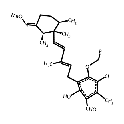 CO/N=C1\CC[C@@H](C)[C@](C)(/C=C/C(C)=C/Cc2c(O)c(C=O)c(C)c(Cl)c2OCF)[C@H]1C